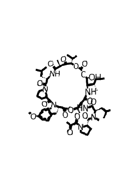 CC[C@H](C)[C@H]1NC(=O)[C@@H](NC(=O)[C@@H](CC(C)C)N(C)C(=O)[C@@H]2CCCN2C(=O)C(C)=O)[C@@H](C)OC(=O)[C@H](Cc2ccc(OC)cc2)N(C)C(=O)C2CCCN2C(=O)[C@H](CC(C)C)NC(=O)[C@@H](C)C(=O)[C@H](C(C)C)OC(=O)C[C@H]1O